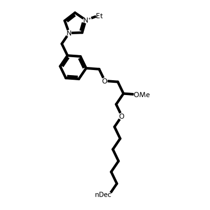 CCCCCCCCCCCCCCCCOCC(COCc1cccc(Cn2cc[n+](CC)c2)c1)OC